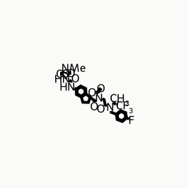 CNS(=O)(=O)NC(=O)Nc1ccc2c(c1)CCC21OC(=O)N(CC(=O)N(Cc2ccc(F)cc2)[C@@H](C)C(F)(F)F)C1=O